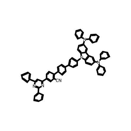 N#Cc1cc(-c2cc(-c3ccccc3)nc(-c3ccccc3)n2)ccc1-c1ccc(-c2ccc(-n3c4ccc(N(c5ccccc5)c5ccccc5)cc4c4cc(N(c5ccccc5)c5ccccc5)ccc43)cc2)cc1